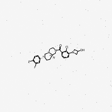 O=C(c1cccc(N2CC(O)C2)c1Cl)N1CCN2C[C@@H](c3ccc(F)c(F)c3)CC[C@@H]2C1